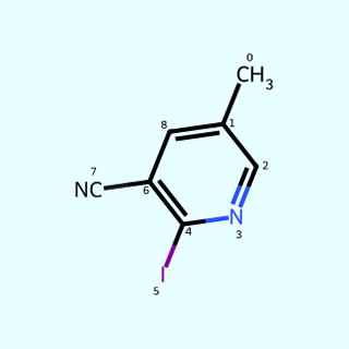 Cc1cnc(I)c(C#N)c1